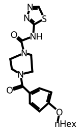 CCCCCCOc1ccc(C(=O)N2CCN(C(=O)Nc3nncs3)CC2)cc1